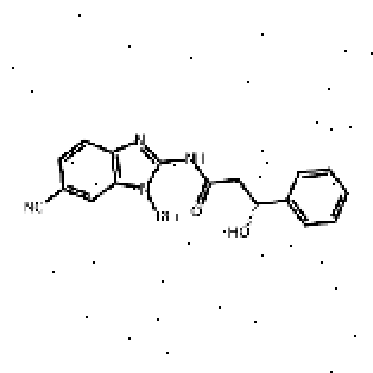 CC(C)(C)n1c(NC(=O)C[C@@H](O)c2ccccc2)nc2ccc(C#N)cc21